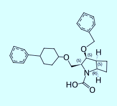 O=C(O)N1[C@@H]2CC[C@@H]2[C@H](OCc2ccccc2)[C@@H]1COC1CCC(c2ccccc2)CC1